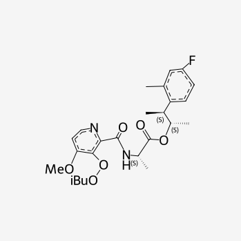 COc1ccnc(C(=O)N[C@@H](C)C(=O)O[C@@H](C)[C@@H](C)c2ccc(F)cc2C)c1OOCC(C)C